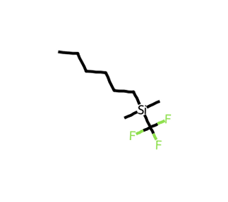 CCCCCC[Si](C)(C)C(F)(F)F